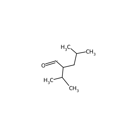 CC(C)CC([C]=O)C(C)C